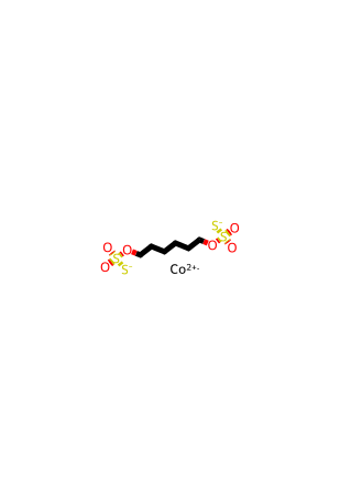 O=S(=O)([S-])OCCCCCCOS(=O)(=O)[S-].[Co+2]